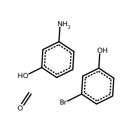 C=O.Nc1cccc(O)c1.Oc1cccc(Br)c1